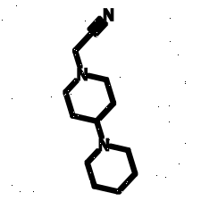 N#CCN1CCC(N2CCCCC2)CC1